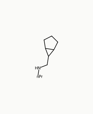 CCCNCC1C2CCCC21